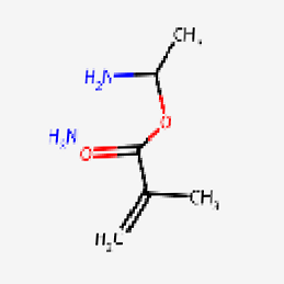 C=C(C)C(=O)OC(C)N.N